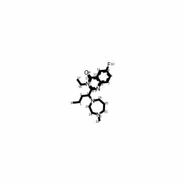 CCCC(c1nc2ccc(F)cc2c(=O)n1CC)N1CCCN(C)CC1